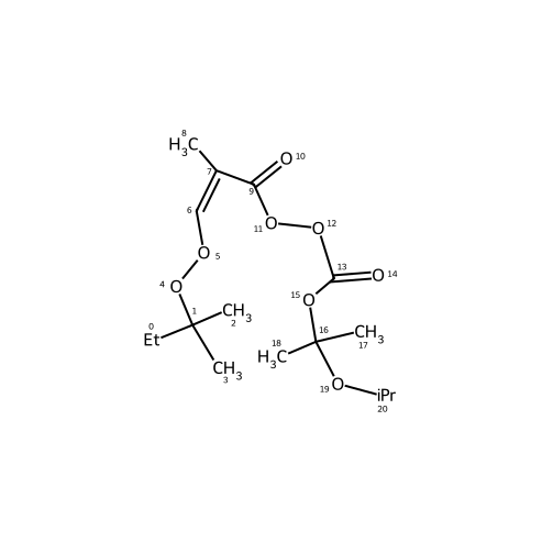 CCC(C)(C)OOC=C(C)C(=O)OOC(=O)OC(C)(C)OC(C)C